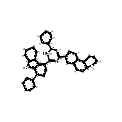 c1ccc(-c2ccc(C3=NC(c4ccc5c(ccc6ccccc65)c4)=NC(c4ccccc4)N3)c3c2oc2ccccc23)cc1